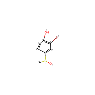 C[S+]([O-])c1ccc(O)c(Br)c1